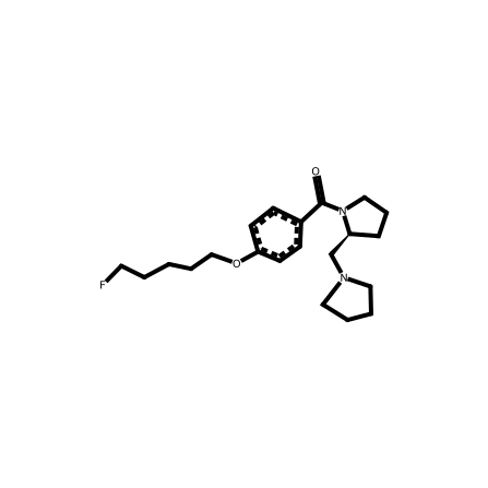 O=C(c1ccc(OCCCCCF)cc1)N1CCC[C@H]1CN1CCCC1